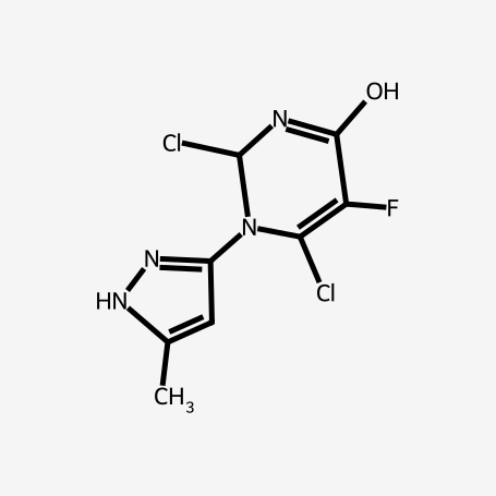 Cc1cc(N2C(Cl)=C(F)C(O)=NC2Cl)n[nH]1